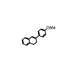 COc1ccc(C2=Cc3ccccc3CC2)cc1